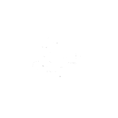 O=C(O)c1ccc2c(c1)nc(Nc1cccc([S+]([O-])NC3CC3)c1)c1ccsc12